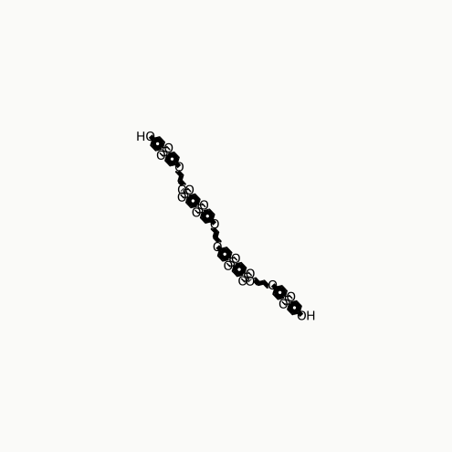 O=S(=O)(OC=CCCOc1ccc(S(=O)(=O)c2ccc(O)cc2)cc1)c1ccc(S(=O)(=O)c2ccc(OCC=CCOc3ccc(S(=O)(=O)c4ccc(S(=O)(=O)OC=CCCOc5ccc(S(=O)(=O)c6ccc(O)cc6)cc5)cc4)cc3)cc2)cc1